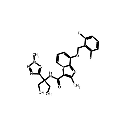 Cc1nc2c(OCc3c(F)cccc3F)cccn2c1C(=O)NC(CO)(CO)c1nnn(C)n1